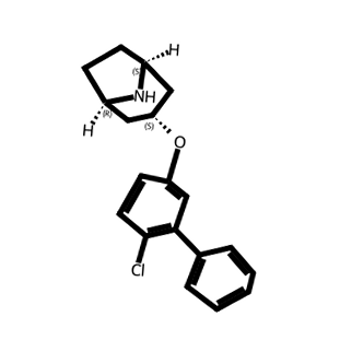 Clc1ccc(O[C@@H]2C[C@H]3CC[C@@H](C2)N3)cc1-c1ccccc1